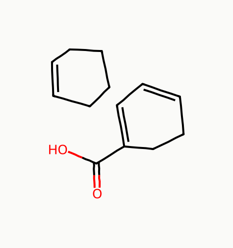 C1=CCCCC1.O=C(O)C1=CC=CCC1